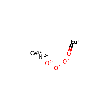 [Ce+3].[Ni+2].[O-2].[O-2].[O-2].[O]=[Eu+]